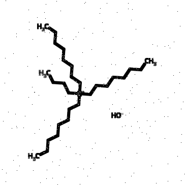 CCCCCCCC[N+](CCCC)(CCCCCCCC)CCCCCCCC.[OH-]